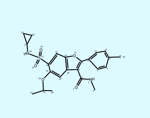 CNC(=O)c1c(-c2ccc(F)cc2)oc2cc(S(=O)(=O)NC3CC3)c(OC(C)C)cc12